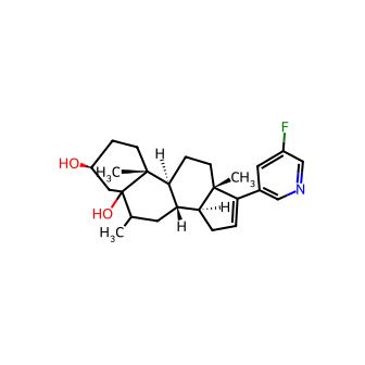 CC1C[C@H]2[C@@H]3CC=C(c4cncc(F)c4)[C@@]3(C)CC[C@@H]2[C@@]2(C)CC[C@H](O)CC12O